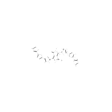 CN1C(=O)C2=C(c3ncc(-c4ccc(-c5cccs5)s4)s3)N(C)C(=O)C2=C1c1ncc(-c2ccc(-c3cccs3)s2)s1